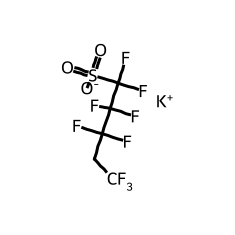 O=S(=O)([O-])C(F)(F)C(F)(F)C(F)(F)CC(F)(F)F.[K+]